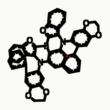 Cc1cc2c3c(c1)N(c1cc4c(cc1-c1ccccc1)OCCO4)c1c(oc4ccccc14)B3c1oc3ccccc3c1N2c1cc2c(cc1-c1ccccc1)OCCO2